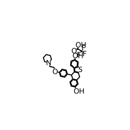 O=C(O)C(F)(F)F.Oc1ccc2c(c1)Cc1sc3cc(O)ccc3c1C2c1ccc(OCCN2CCCCC2)cc1